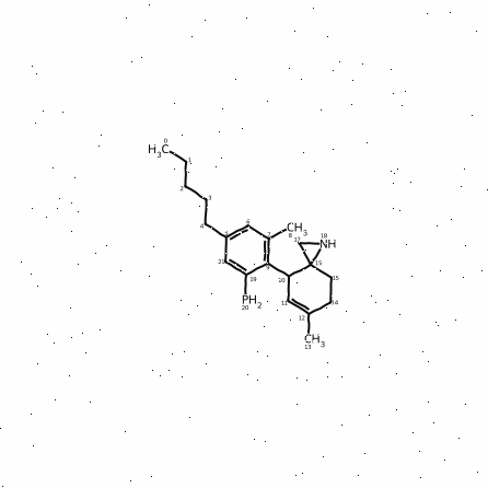 CCCCCc1cc(C)c(C2C=C(C)CCC23CN3)c(P)c1